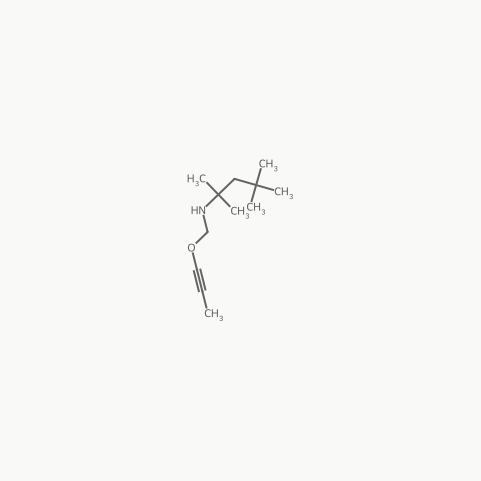 CC#COCNC(C)(C)CC(C)(C)C